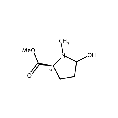 COC(=O)[C@@H]1CCC(O)N1C